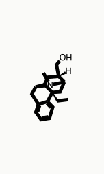 CC[C@]12CC3[C@@H](CO)CC1C(Cc1ccccc12)N3C